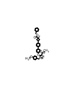 COC(=O)c1nnn(Cc2ccc(OC)cc2)c1Oc1ccc(-c2ccc(C3CC(F)(C(=O)OCc4ccccc4)C3)cc2)cc1